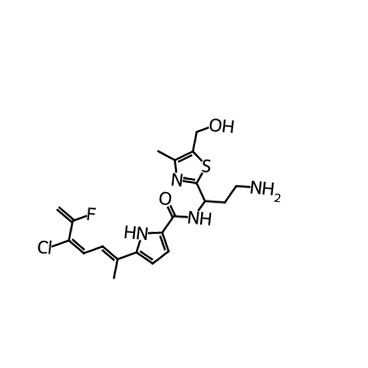 C=C(F)/C(Cl)=C\C=C(/C)c1ccc(C(=O)NC(CCN)c2nc(C)c(CO)s2)[nH]1